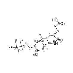 CC(C)C1=CN(CCC(=O)O)C(=O)N[C@@]1(C)c1ccc(CCC(C)(C)C(F)(F)F)c(Cl)c1